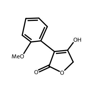 COc1ccccc1C1=C(O)COC1=O